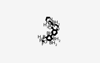 Bc1c(B)c(-c2ccc3c(c2)C(=O)N(C(B)(B)c2ncccn2)CCO3)c(B)c(B)c1OC(F)(F)F